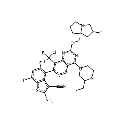 CCC1CN(c2nc(OC[C@]34CCCN3C[C@@H](F)C4)nc3c(C(F)(F)Cl)c(-c4c(F)cc(F)c5sc(N)c(C#N)c45)ncc23)CCN1